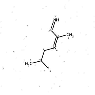 C/C(C=N)=N/CC(C)I